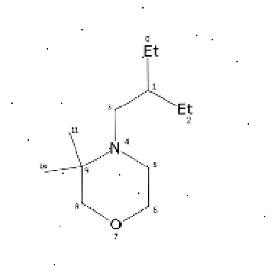 CCC(CC)CN1CCOCC1(C)C